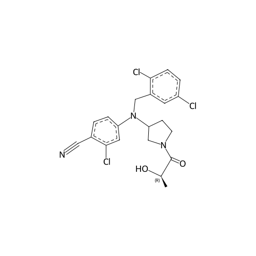 C[C@@H](O)C(=O)N1CCC(N(Cc2cc(Cl)ccc2Cl)c2ccc(C#N)c(Cl)c2)C1